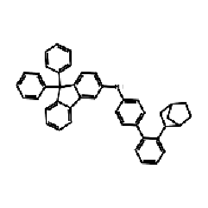 c1ccc(C2(c3ccccc3)c3ccccc3-c3cc(Nc4ccc(-c5ccccc5C5CC6CCC5C6)cc4)ccc32)cc1